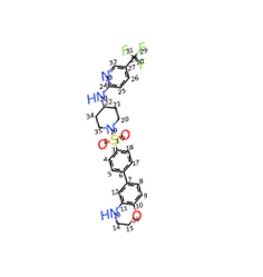 O=S(=O)(c1ccc(-c2ccc3c(c2)NCCO3)cc1)N1CCC(Nc2ccc(C(F)(F)F)cn2)CC1